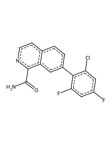 NC(=O)c1n[c]cc2ccc(-c3c(F)cc(F)cc3Cl)cc12